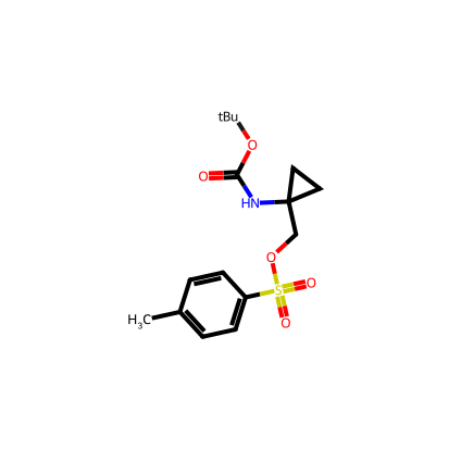 Cc1ccc(S(=O)(=O)OCC2(NC(=O)OC(C)(C)C)CC2)cc1